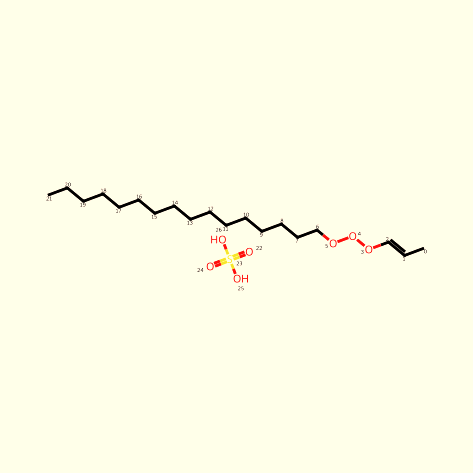 CC=COOOCCCCCCCCCCCCCCCC.O=S(=O)(O)O